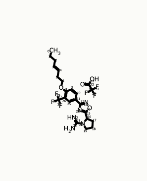 CCCC=CCCOc1ccc(-c2noc(C3CCCN3C(=N)N)n2)cc1C(F)(F)F.O=C(O)C(F)(F)F